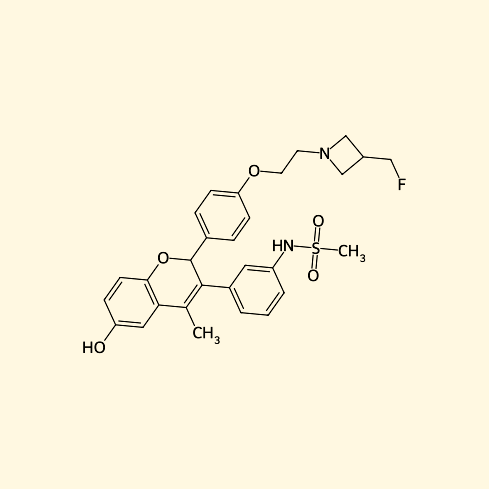 CC1=C(c2cccc(NS(C)(=O)=O)c2)C(c2ccc(OCCN3CC(CF)C3)cc2)Oc2ccc(O)cc21